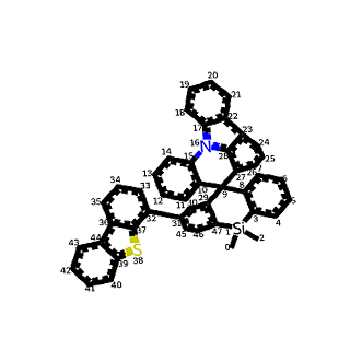 C[Si]1(C)c2ccccc2C2(c3ccccc3-n3c4ccccc4c4cccc2c43)c2cc(-c3cccc4c3sc3ccccc34)ccc21